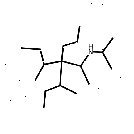 CCCC(C(C)CC)(C(C)CC)C(C)NC(C)C